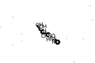 O=C(Nc1nc2ccccc2s1)N1CC=C(c2ncc(C[C@H](O)CO)cc2Cl)CC1